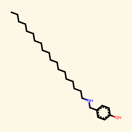 CCCCCCCCCCCCCCCCCCCNCc1ccc(O)cc1